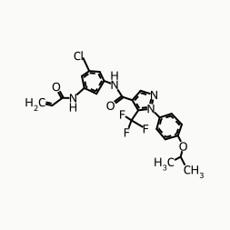 C=CC(=O)Nc1cc(Cl)cc(NC(=O)c2cnn(-c3ccc(OC(C)C)cc3)c2C(F)(F)F)c1